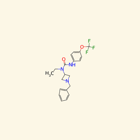 CCN(C(=O)Nc1ccc(OC(F)(F)F)cc1)C1CN(Cc2ccccc2)C1